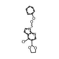 Clc1c(C2OCCO2)cnc2c1ccn2SOOc1ccccc1